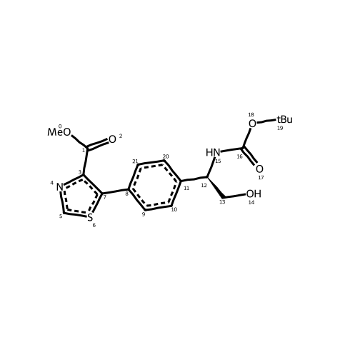 COC(=O)c1ncsc1-c1ccc([C@H](CO)NC(=O)OC(C)(C)C)cc1